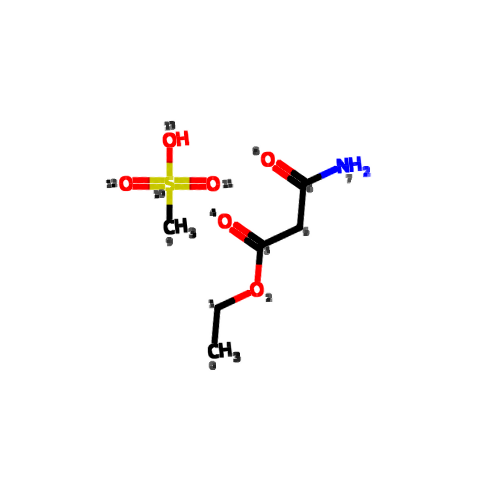 CCOC(=O)CC(N)=O.CS(=O)(=O)O